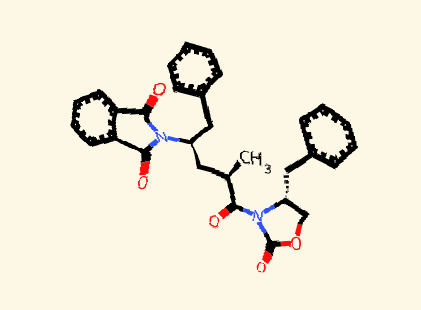 C[C@H](C[C@H](Cc1ccccc1)N1C(=O)c2ccccc2C1=O)C(=O)N1C(=O)OC[C@H]1Cc1ccccc1